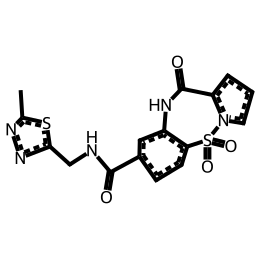 Cc1nnc(CNC(=O)c2ccc3c(c2)NC(=O)c2cccn2S3(=O)=O)s1